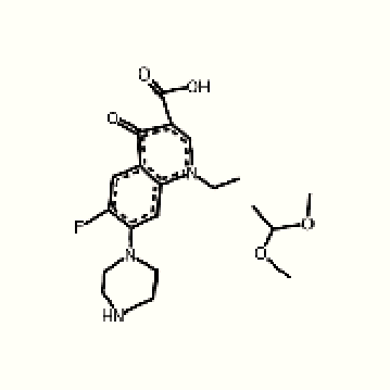 CCn1cc(C(=O)O)c(=O)c2cc(F)c(N3CCNCC3)cc21.COC(C)OC